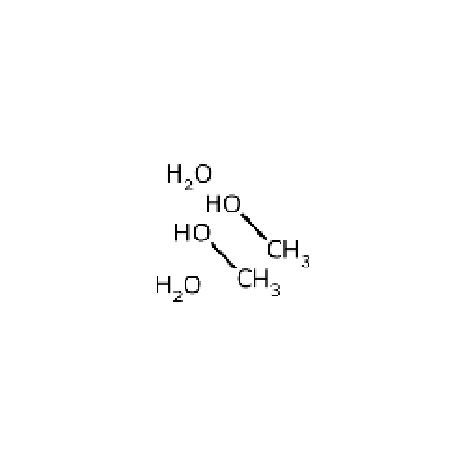 CO.CO.O.O